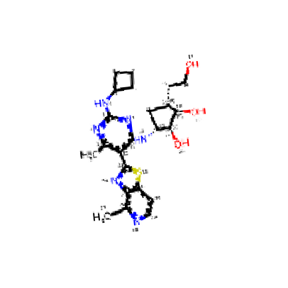 Cc1nc(NC2CCC2)nc(N[C@@H]2C[C@H](CCO)[C@@H](O)[C@H]2O)c1-c1nc2c(C)nccc2s1